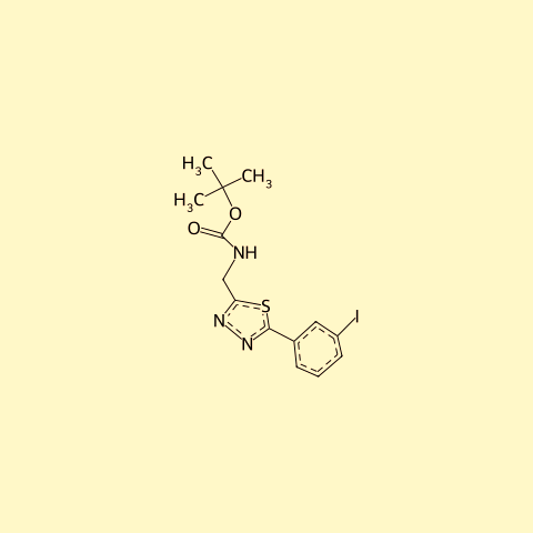 CC(C)(C)OC(=O)NCc1nnc(-c2cccc(I)c2)s1